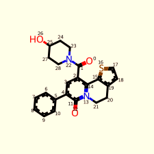 O=C(c1cc(-c2ccccc2)c(=O)n2c1-c1sccc1CC2)N1CCC(O)CC1